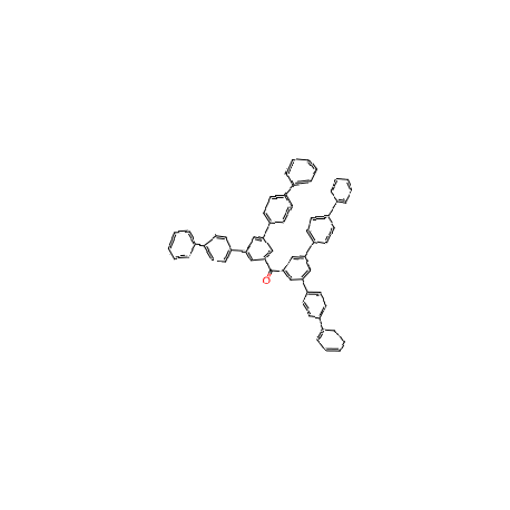 O=C(c1cc(-c2ccc(C3=CC=CCC3)cc2)cc(-c2ccc(-c3ccccc3)cc2)c1)c1cc(-c2ccc(-c3ccccc3)cc2)cc(-c2ccc(-c3ccccc3)cc2)c1